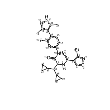 CCc1nocc1C(=O)NC(C(=O)Nc1ccc(-c2c(C)n[nH]c2C)c(F)n1)C(C1CC1)C1CC1